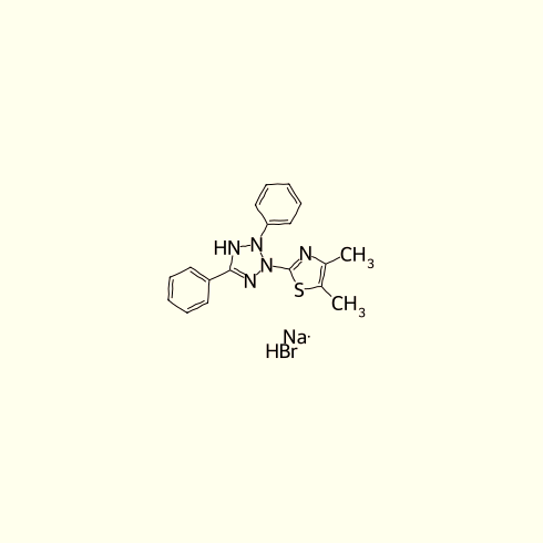 Br.Cc1nc(N2N=C(c3ccccc3)NN2c2ccccc2)sc1C.[Na]